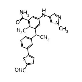 Cc1c(C(N)=O)cc(Nc2cnn(C)c2)cc1C(C)c1cccc(-c2ccc(C=O)s2)c1